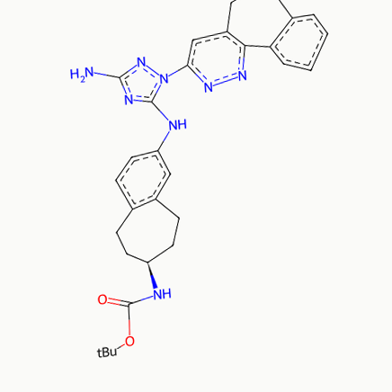 CC(C)(C)OC(=O)N[C@H]1CCc2ccc(Nc3nc(N)nn3-c3cc4c(nn3)-c3ccccc3CCC4)cc2CC1